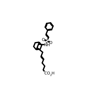 O=C(O)CCCC=CCC1C2CCC(CC2)C1NS(=O)(=O)C=Cc1ccccc1